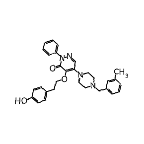 Cc1cccc(CN2CCN(c3cnn(-c4ccccc4)c(=O)c3OCCc3ccc(O)cc3)CC2)c1